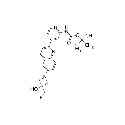 CC(C)(C)OC(=O)Nc1cc(-c2ccc3cc(N4CC(O)(CF)C4)ccc3n2)ccn1